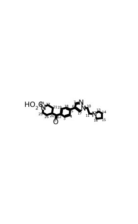 O=C(c1ccc(-c2cnn(CCN3CCCC3)c2)cc1)C1CCN(C(=O)O)CC1